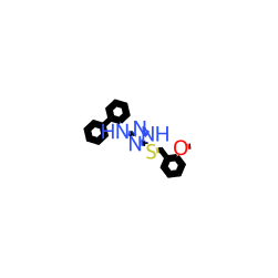 COc1ccccc1CSc1nc(Nc2ccccc2-c2ccccc2)n[nH]1